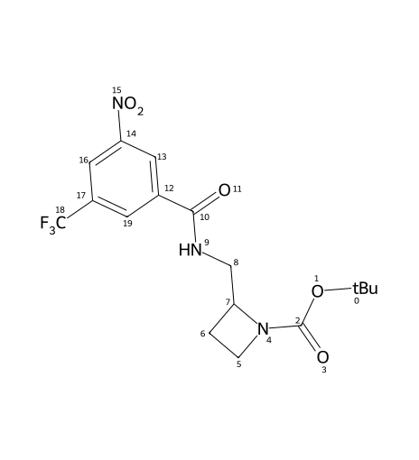 CC(C)(C)OC(=O)N1CCC1CNC(=O)c1cc([N+](=O)[O-])cc(C(F)(F)F)c1